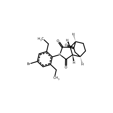 CCc1cc(Br)cc(CC)c1N1C(=O)[C@H]2[C@@H]3CC[C@@H](C(=O)C3)[C@H]2C1=O